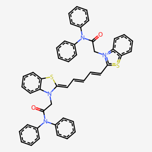 O=C(CN1/C(=C/C=C/C=C/c2sc3ccccc3[n+]2CC(=O)N(c2ccccc2)c2ccccc2)Sc2ccccc21)N(c1ccccc1)c1ccccc1